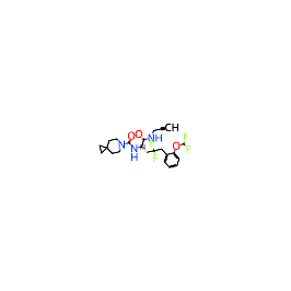 C#CCNC(=O)[C@H](CC(F)(F)Cc1ccccc1OC(F)F)NC(=O)N1CCC2(CC1)CC2